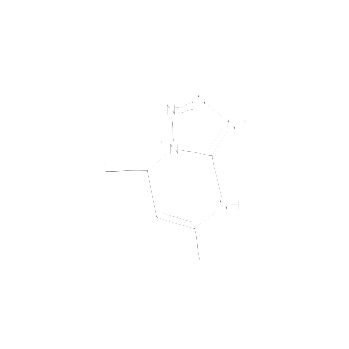 CC1=CC(C)n2nnnc2N1